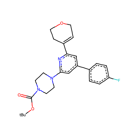 CC(C)(C)OC(=O)N1CCN(c2cc(-c3ccc(F)cc3)cc(C3=CCOCC3)n2)CC1